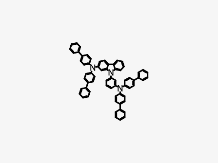 c1ccc(-c2ccc(N(c3ccc(-c4ccccc4)cc3)c3cccc(-n4c5ccccc5c5ccc(N(c6ccc(-c7ccccc7)cc6)c6ccc(-c7ccccc7)cc6)cc54)c3)cc2)cc1